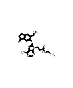 CCNC(=O)CCn1c(Sc2cc3c(cc2CC)CCC3=O)nc2c(N)ncnc21